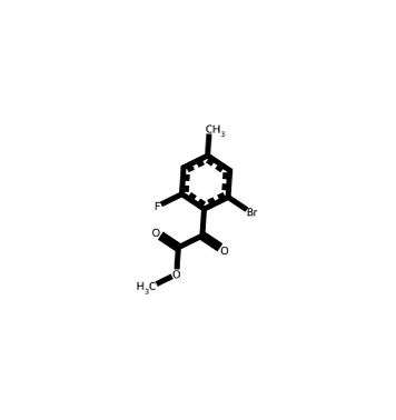 COC(=O)C(=O)c1c(F)cc(C)cc1Br